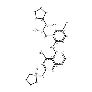 Cc1cc(N=S2(=O)CCCC2)cc2ncnc(Nc3ccc(F)cc3O[C@H](C)C(=O)N3CCCC3)c12